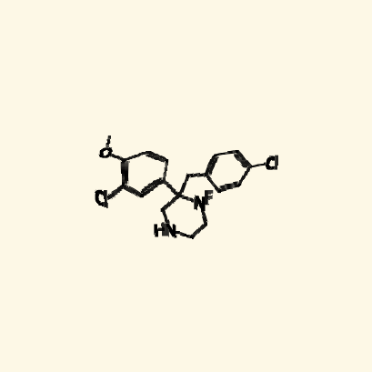 COc1ccc(C2(Cc3ccc(Cl)cc3)CNCCN2F)cc1Cl